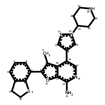 Cc1c(-c2cccc3c2SCC3)oc2c(N)ncc(-c3cnn(C4CCNCC4)c3)c12